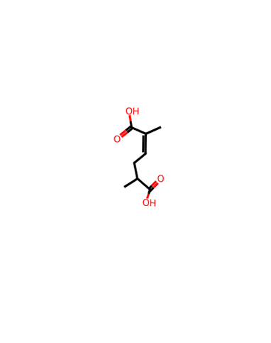 C/C(=C/CC(C)C(=O)O)C(=O)O